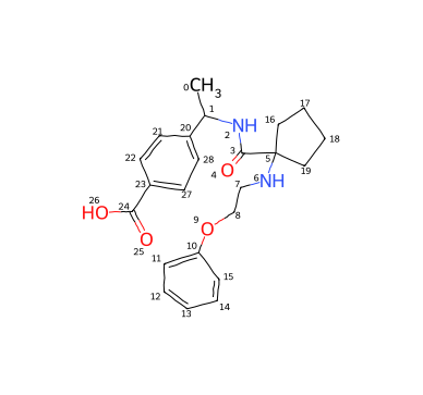 CC(NC(=O)C1(NCCOc2ccccc2)CCCC1)c1ccc(C(=O)O)cc1